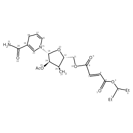 CCC(CC)OC(=O)/C=C/C(=O)OC[C@H]1O[C@@H](N2C=CCC(C(N)=O)=C2)[C@H](OC(C)=O)[C@@H]1C